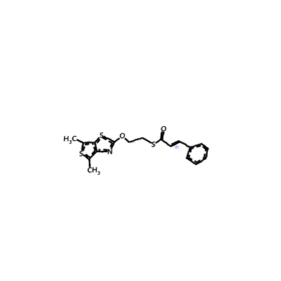 Cc1sc(C)c2sc(OCCSC(=O)/C=C/c3ccccc3)nc12